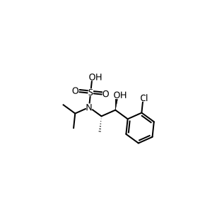 CC(C)N([C@@H](C)[C@@H](O)c1ccccc1Cl)S(=O)(=O)O